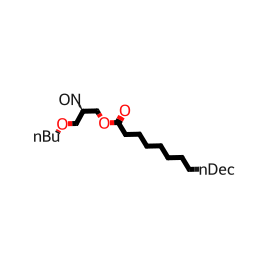 CCCCCCCCCCCCCCCCCC(=O)OC[C@H](COCCCC)N=O